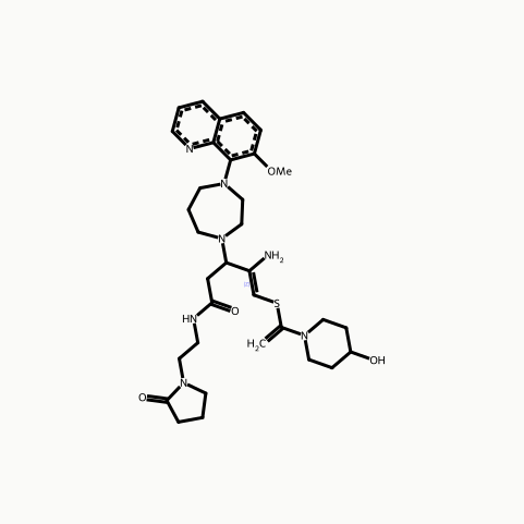 C=C(S/C=C(\N)C(CC(=O)NCCN1CCCC1=O)N1CCCN(c2c(OC)ccc3cccnc23)CC1)N1CCC(O)CC1